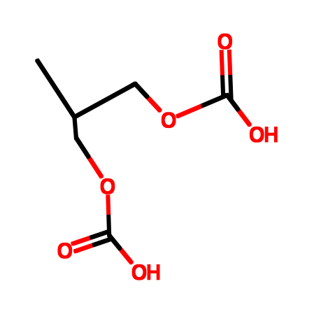 CC(COC(=O)O)COC(=O)O